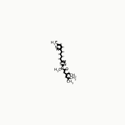 C=C/C(=C\C(=C)C)CC(=O)N(C)c1nnc(CCCCc2ccc(C)nn2)s1